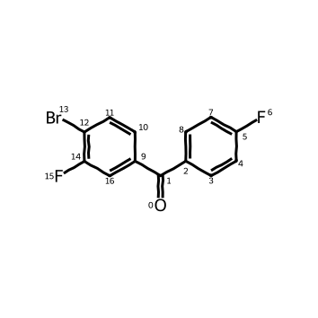 O=C(c1ccc(F)cc1)c1ccc(Br)c(F)c1